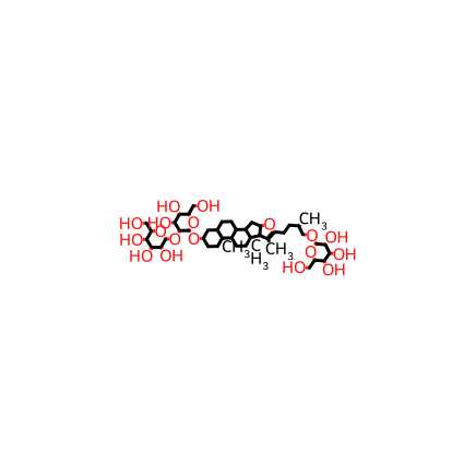 CC1=C(CCC(C)COC2OC(CO)C(O)C(O)C2O)OC2CC3C4CCC5CC(OC6OC(CO)C(O)C(O)C6OC6OC(CO)C(O)C(O)C6O)CCC5(C)C4CCC3(C)C12